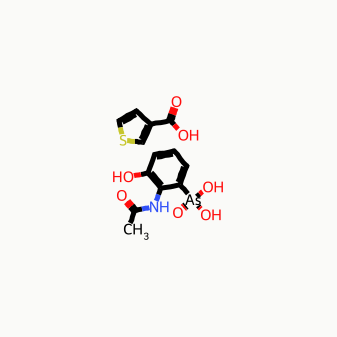 CC(=O)Nc1c(O)cccc1[As](=O)(O)O.O=C(O)c1ccsc1